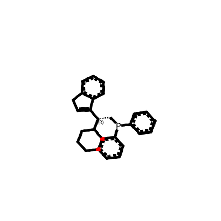 C1=C([C@H](CP(c2ccccc2)c2ccccc2)C2CCCCC2)c2ccccc2C1